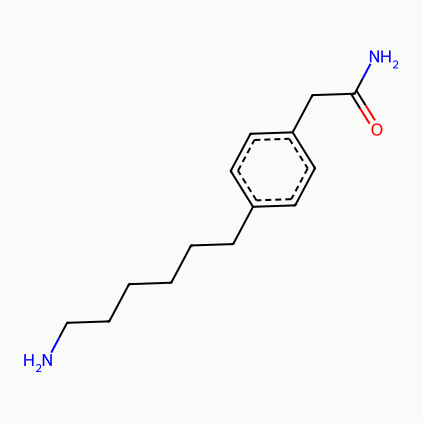 NCCCCCCc1ccc(CC(N)=O)cc1